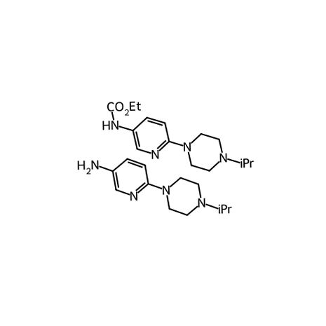 CC(C)N1CCN(c2ccc(N)cn2)CC1.CCOC(=O)Nc1ccc(N2CCN(C(C)C)CC2)nc1